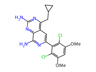 COc1cc(OC)c(Cl)c(-c2cc3c(CC4CC4)nc(N)nc3c(N)n2)c1Cl